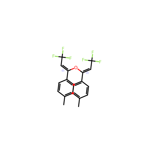 Cc1ccc(/C(=C/C(F)(F)F)O/C(=C\C(F)(F)F)c2ccc(C)cc2)cc1